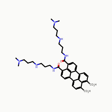 CN(C)CCCNCCCNC(=O)c1ccc2c3ccc(C(=O)O)c4c(C(=O)O)ccc(c5ccc(C(=O)NCCCNCCCN(C)C)c1c25)c43